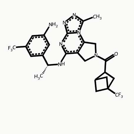 Cc1nnc2nc(N[C@H](C)c3cc(N)cc(C(F)(F)F)c3)c3c(n12)CN(C(=O)C1CC2(C(F)(F)F)CC1C2)C3